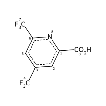 O=C(O)c1cc(C(F)(F)F)cc(C(F)(F)F)n1